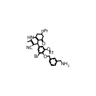 CCCC1CC(=O)C2=C(C1)NC(C)=C(C#N)C2c1cc(Br)c(OCc2cccc(CN)c2)c(OCC)c1